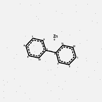 [Zn].c1ccc(-c2ccccc2)cc1